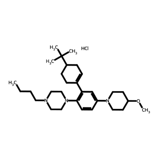 CCCCN1CCN(c2ccc(N3CCC(OC)CC3)cc2C2=CCC(C(C)(C)C)CC2)CC1.Cl